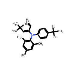 C=C/C(=C\C(C)(CCCC)CCCC)N(c1ccc(C(C)(CC)CC)cc1)c1c(C)cc(C(C)(C)C)cc1C